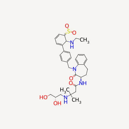 CCNC1C(c2ccc(CN3C(=O)[C@H](NC(=O)CC(C)(C)NC[C@H](O)CO)CCc4ccccc43)cc2)=CC=CC1=S(=O)=O